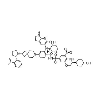 C=C(C)c1ccccc1[C@@H]1CCCN1C1CC2(CCN(c3ccc(C(=O)NS(=O)(=O)c4cc5c(c([N+](=O)[O-])c4)N[C@@H](C4CCC(O)CC4)CO5)c(N4c5cc6cc[nH]c6nc5O[C@@H]5CCOC[C@@H]54)c3)CC2)C1